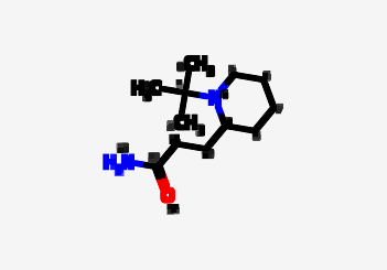 CC(C)(C)N1CCCCC1CCC(N)=O